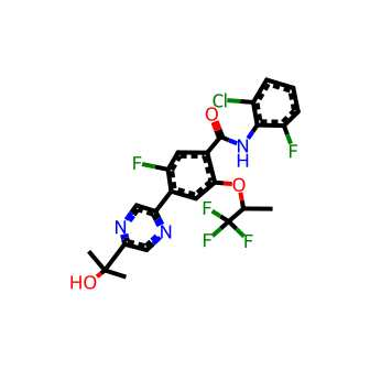 CC(Oc1cc(-c2cnc(C(C)(C)O)cn2)c(F)cc1C(=O)Nc1c(F)cccc1Cl)C(F)(F)F